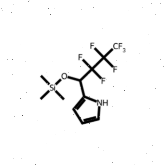 C[Si](C)(C)OC(c1ccc[nH]1)C(F)(F)C(F)(F)C(F)(F)F